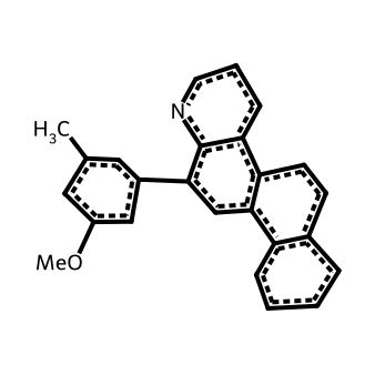 COc1cc(C)cc(-c2cc3c4ccccc4ccc3c3cccnc23)c1